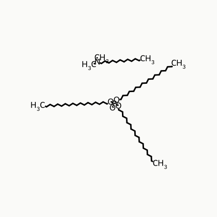 CCCCCCCCCCCCCCCCCCOP(=O)(OCCCCCCCCCCCCCCCCCC)OCCCCCCCCCCCCCCCCCC.CCCCCCCCCCCCN(C)C